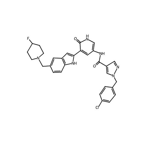 O=C(Nc1c[nH]c(=O)c(-c2cc3cc(CN4CCC(F)CC4)ccc3[nH]2)c1)c1cnn(Cc2ccc(Cl)cc2)c1